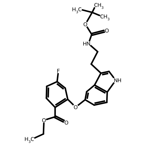 CCOC(=O)c1ccc(F)cc1Oc1ccc2[nH]cc(CCNC(=O)OC(C)(C)C)c2c1